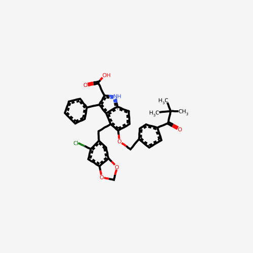 CC(C)(C)C(=O)c1ccc(COc2ccc3[nH]c(C(=O)O)c(-c4ccccc4)c3c2Cc2cc3c(cc2Cl)OCO3)cc1